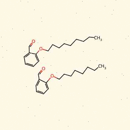 CCCCCCCCCOc1ccccc1C=O.CCCCCCCCOc1ccccc1C=O